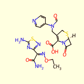 CCON=C(C(N)=O)c1nsc(N)n1.O=CN(CC1=C(C(=O)O)N2C(=O)C[C@@H]2SC1)c1ccncc1